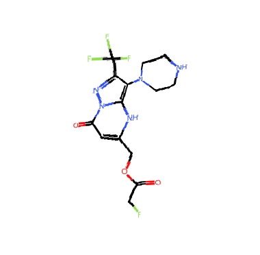 O=C(CF)OCc1cc(=O)n2nc(C(F)(F)F)c(N3CCNCC3)c2[nH]1